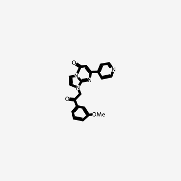 COc1cccc(C(=O)Cn2ccn3c(=O)cc(-c4ccncc4)nc23)c1